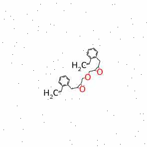 C=Cc1ccccc1CC1OC1COCC1OC1Cc1ccccc1C=C